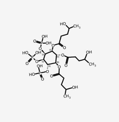 CC(O)CCC(=O)O[C@@H]1[C@@H](OC(=O)CCC(C)O)[C@H](OP(=O)(O)O)[C@@H](OP(=O)(O)O)[C@@H](OP(=O)(O)O)[C@H]1OC(=O)CCC(C)O